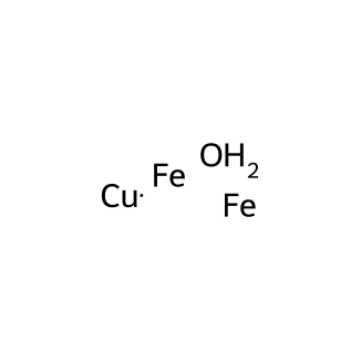 O.[Cu].[Fe].[Fe]